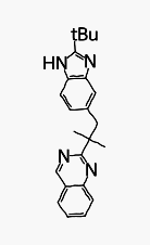 CC(C)(C)c1nc2cc(CC(C)(C)c3ncc4ccccc4n3)ccc2[nH]1